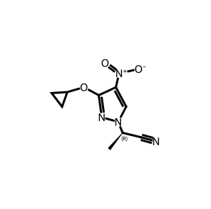 C[C@H](C#N)n1cc([N+](=O)[O-])c(OC2CC2)n1